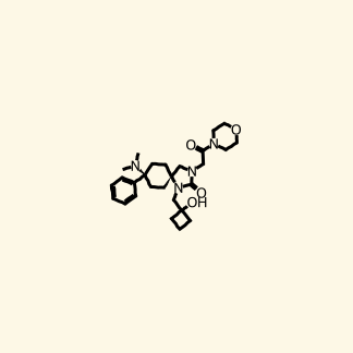 CN(C)[C@]1(c2ccccc2)CC[C@@]2(CC1)CN(CC(=O)N1CCOCC1)C(=O)N2CC1(O)CCC1